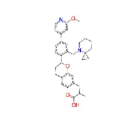 COc1cc(-c2ccc(C3CCc4ccc(CC(C)C(=O)O)cc4O3)c(CN3CCCCC34CC4)c2)ccn1